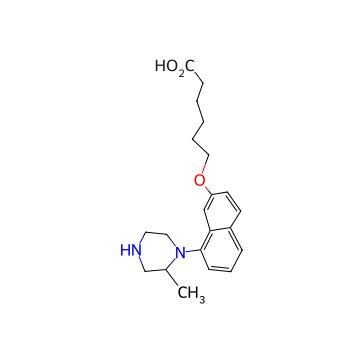 CC1CNCCN1c1cccc2ccc(OCCCCCC(=O)O)cc12